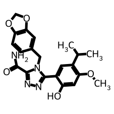 COc1cc(O)c(-c2nnc(C(N)=O)n2Cc2ccc3c(c2)OCO3)cc1C(C)C